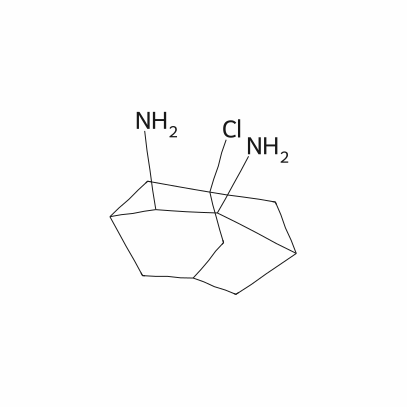 NC1C2CC3CC(CC(Cl)(C3)C2)C1N